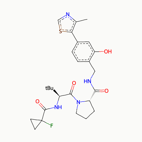 Cc1ncsc1-c1ccc(CNC(=O)[C@@H]2CCCN2C(=O)[C@@H](NC(=O)C2(F)CC2)C(C)(C)C)c(O)c1